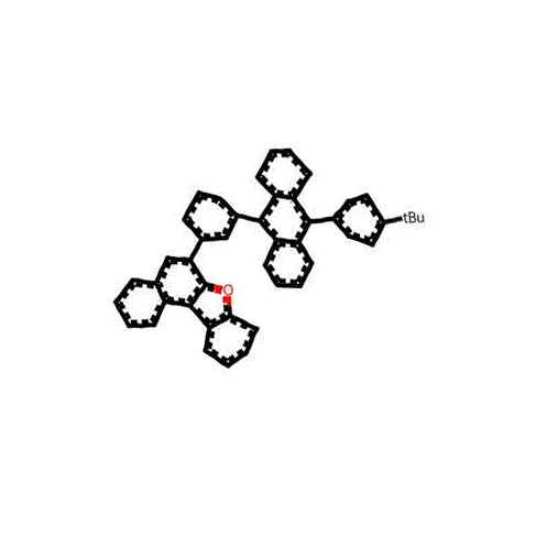 CC(C)(C)c1ccc(-c2c3ccccc3c(-c3cccc(-c4cc5ccccc5c5c4oc4ccccc45)c3)c3ccccc23)cc1